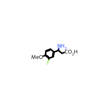 COc1ccc(C(N)CC(=O)O)cc1F